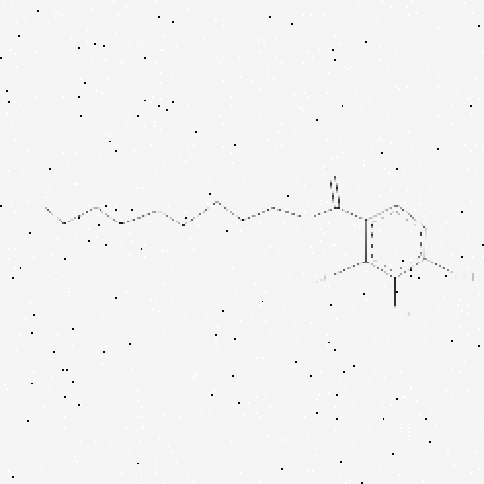 CCCCCCCCCCCCCCCCCCOC(=O)c1ccc(O)c(C(C)(C)C)c1C(C)(C)C